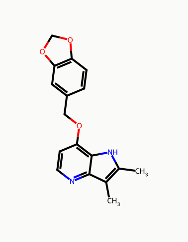 Cc1[nH]c2c(OCc3ccc4c(c3)OCO4)ccnc2c1C